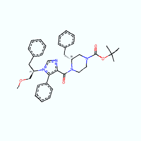 COC[C@@H](Cc1ccccc1)n1cnc(C(=O)N2CCN(C(=O)OC(C)(C)C)C[C@H]2Cc2ccccc2)c1-c1ccccc1